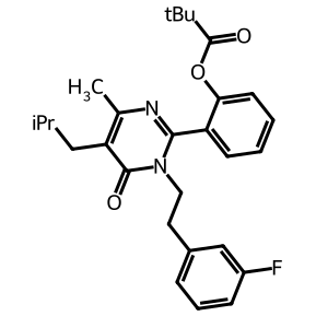 Cc1nc(-c2ccccc2OC(=O)C(C)(C)C)n(CCc2cccc(F)c2)c(=O)c1CC(C)C